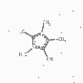 Cc1c(C)p(C)c(C)[n+]1C